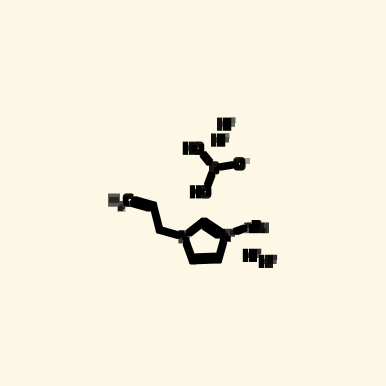 C=CCn1cc[n+](CCCC)c1.F.F.F.F.[O-]B(O)O